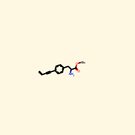 C=CC#Cc1ccc(CC(N)C(=O)OC(C)(C)C)cc1